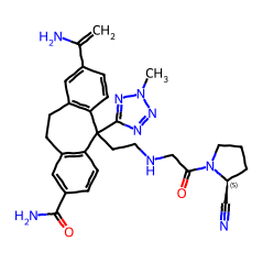 C=C(N)c1ccc2c(c1)CCc1cc(C(N)=O)ccc1C2(CCNCC(=O)N1CCC[C@H]1C#N)c1nnn(C)n1